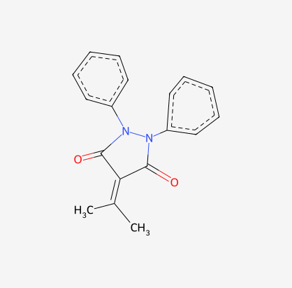 CC(C)=C1C(=O)N(c2ccccc2)N(c2ccccc2)C1=O